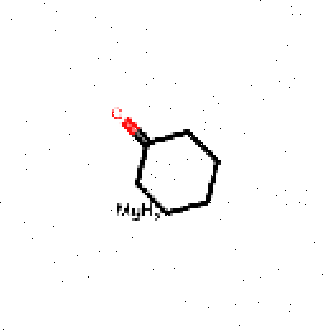 O=C1CCCCC1.[MgH2]